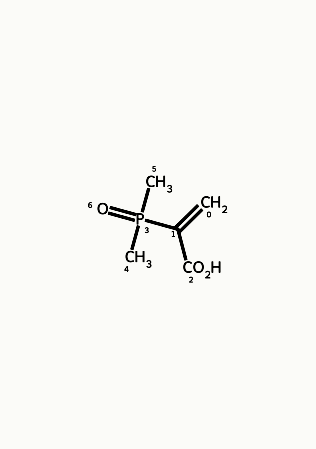 C=C(C(=O)O)P(C)(C)=O